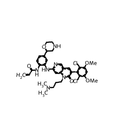 C=CC(=O)Nc1ccc(C2CNCCO2)cc1Nc1cc2c(cn1)cc(-c1c(Cl)c(OC)cc(OC)c1Cl)c(=O)n2CCCN(C)C